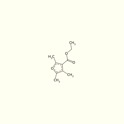 CCOC(=O)c1c(C)oc(C)c1C